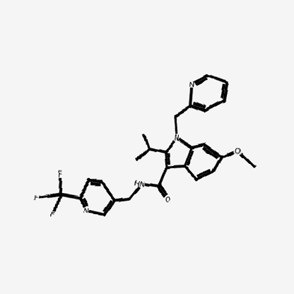 COc1ccc2c(C(=O)NCc3ccc(C(F)(F)F)nc3)c(C(C)C)n(Cc3ccccn3)c2c1